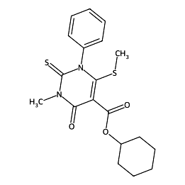 CSc1c(C(=O)OC2CCCCC2)c(=O)n(C)c(=S)n1-c1ccccc1